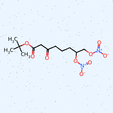 CC(C)(C)OC(=O)CC(=O)CCCC(CO[N+](=O)[O-])O[N+](=O)[O-]